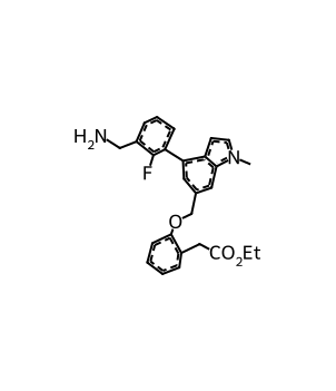 CCOC(=O)Cc1ccccc1OCc1cc(-c2cccc(CN)c2F)c2ccn(C)c2c1